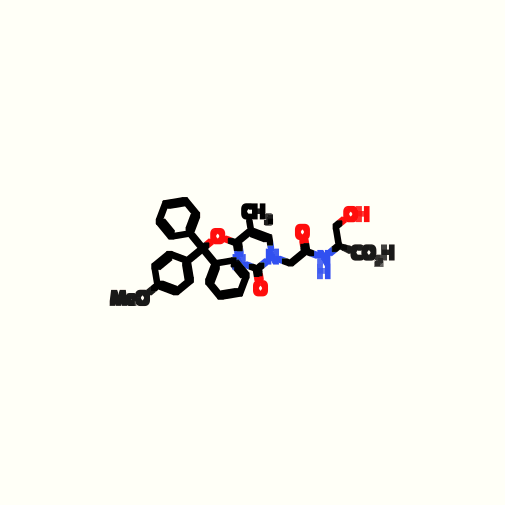 COc1ccc(C(Oc2nc(=O)n(CC(=O)N[C@@H](CO)C(=O)O)cc2C)(c2ccccc2)c2ccccc2)cc1